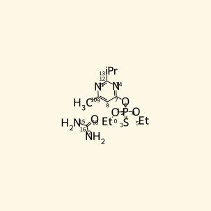 CCOP(=S)(OCC)Oc1cc(C)nc(C(C)C)n1.NC(N)=O